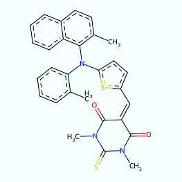 Cc1ccccc1N(c1ccc(C=C2C(=O)N(C)C(=S)N(C)C2=O)s1)c1c(C)ccc2ccccc12